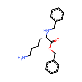 NCCCC[C@H](NCc1ccccc1)C(=O)OCc1ccccc1